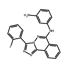 Nc1cccc(Nc2nn3c(-c4ccccc4F)nnc3c3ccccc23)c1